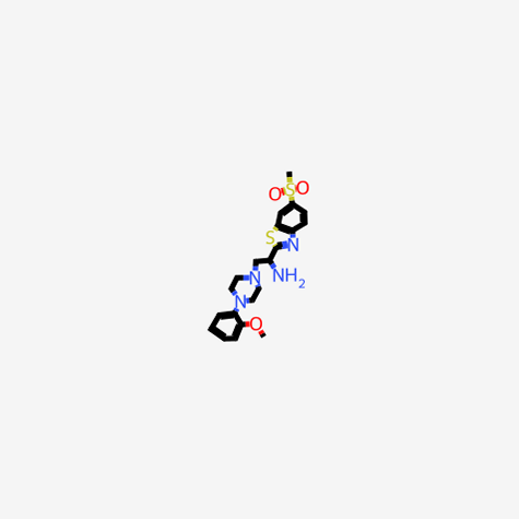 COc1ccccc1N1CCN(CC(N)c2nc3ccc(S(C)(=O)=O)cc3s2)CC1